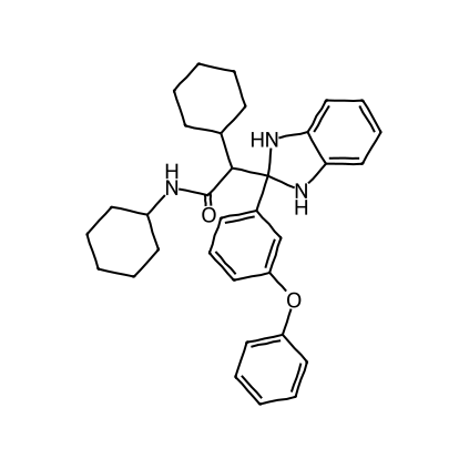 O=C(NC1CCCCC1)C(C1CCCCC1)C1(c2cccc(Oc3ccccc3)c2)Nc2ccccc2N1